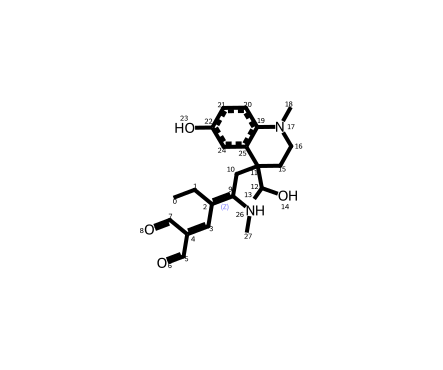 CC/C(C=C(C=O)C=O)=C(\CC1(C(C)O)CCN(C)c2ccc(O)cc21)NC